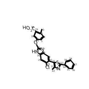 Cc1ccc(Oc2nc3cc(-c4sc(-c5ccccc5)nc4C)c(Cl)cc3[nH]2)cc1C(=O)O